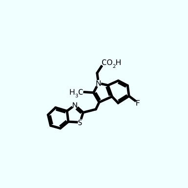 Cc1c(Cc2nc3ccccc3s2)c2cc(F)ccc2n1CC(=O)O